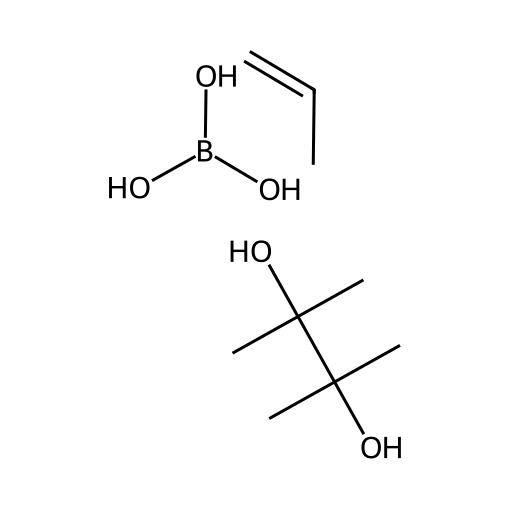 C=CC.CC(C)(O)C(C)(C)O.OB(O)O